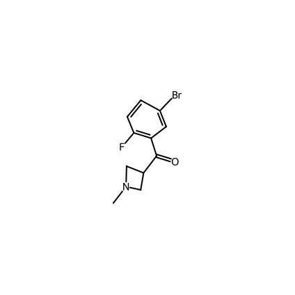 CN1CC(C(=O)c2cc(Br)ccc2F)C1